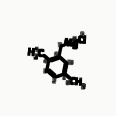 Cc1ccc(C)c([CH2][Mg][Cl])c1